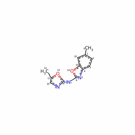 Cc1ccc2nc(Nc3ncc(C)o3)oc2c1